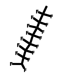 CC(F)(F)C(F)(F)C(F)(F)C(F)(F)C(F)(F)C(F)(F)C(F)(F)C(F)F